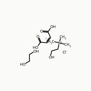 C[N+](C)(C)CCO.O=C(O)/C=C\C(=O)O.OCCO.[Cl-]